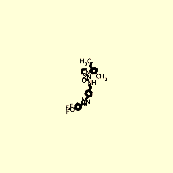 CCCc1ccc(C)cc1N1CCCS/C1=N\C(=O)N/C=C/c1ccc(-c2ncn(-c3ccc(OC(F)(F)F)cc3)n2)cc1